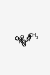 CN1CCN(Cc2cc3c(=O)n(-c4ccccc4)nc-3n3ccccc23)CC1